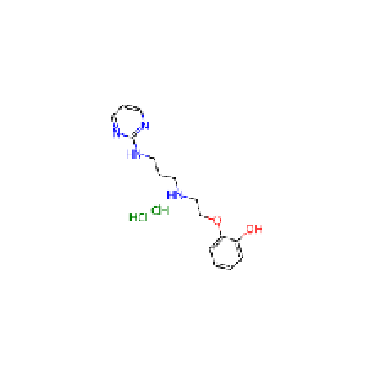 Cl.Cl.Oc1ccccc1OCCNCCCNc1ncccn1